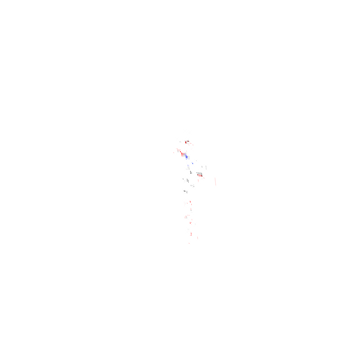 COCCOCOCCCC(C)C1CN(C(=O)OC(C)(C)C)CCC1O